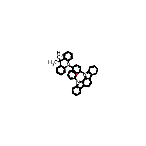 CC1(C)c2ccccc2N(c2ccc(-n3c4c(c5ccc6c7ccccc7n(-c7ccccc7)c6c53)CCC=C4)cc2)c2ccccc21